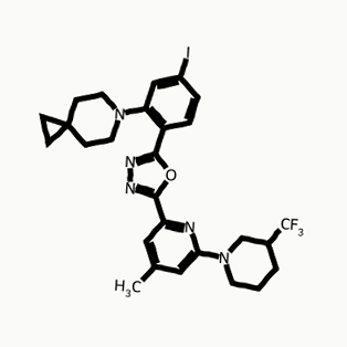 Cc1cc(-c2nnc(-c3ccc(I)cc3N3CCC4(CC3)CC4)o2)nc(N2CCCC(C(F)(F)F)C2)c1